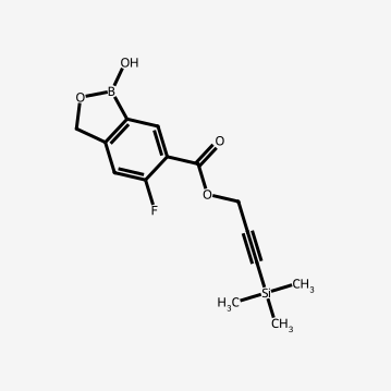 C[Si](C)(C)C#CCOC(=O)c1cc2c(cc1F)COB2O